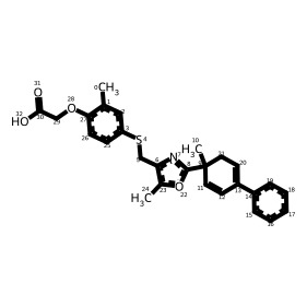 Cc1cc(SCc2nc(C3(C)C=CC(c4ccccc4)=CC3)oc2C)ccc1OCC(=O)O